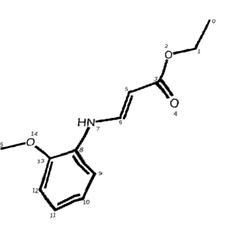 CCOC(=O)/C=C/Nc1ccccc1OC